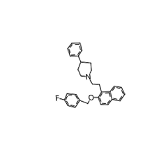 Fc1ccc(COc2ccc3ccccc3c2CCN2CCC(c3ccccc3)CC2)cc1